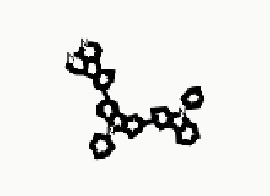 c1ccc(-n2c3ccccc3c3cc(-c4ccc5c(c4)c4cc(-c6ccc7c(c6)-c6ccnc8nccc-7c68)ccc4n5-c4ccccc4)ccc32)cc1